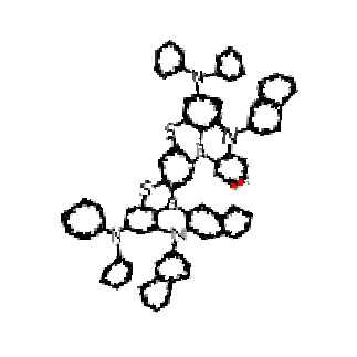 c1ccc(N(c2ccccc2)c2cc3c4c(c2)N(c2ccc5ccccc5c2)c2cc5ccccc5cc2B4c2cc4c(cc2S3)Sc2cc(N(c3ccccc3)c3ccccc3)cc3c2B4c2cc4ccccc4cc2N3c2ccc3ccccc3c2)cc1